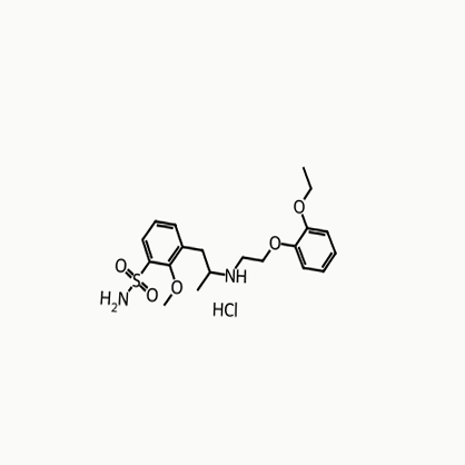 CCOc1ccccc1OCCNC(C)Cc1cccc(S(N)(=O)=O)c1OC.Cl